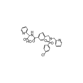 O=C(NC(C(=O)O)c1ccccn1)c1ccc(CN(Cc2ccccn2)S(=O)(=O)c2ccc(Cl)cc2)cc1